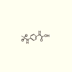 CS(=O)(=O)Nc1ccc(NC(=O)O)cc1